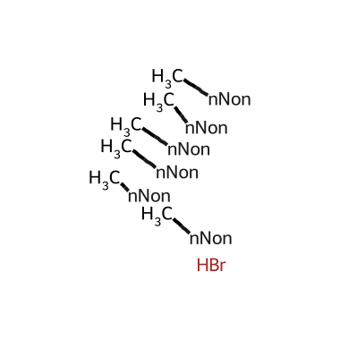 Br.CCCCCCCCCC.CCCCCCCCCC.CCCCCCCCCC.CCCCCCCCCC.CCCCCCCCCC.CCCCCCCCCC